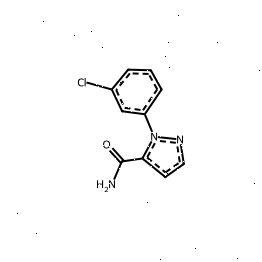 NC(=O)c1ccnn1-c1cccc(Cl)c1